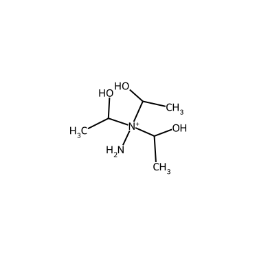 CC(O)[N+](N)(C(C)O)C(C)O